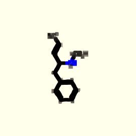 N#CC=CC(Cc1ccccc1)NC(=O)O